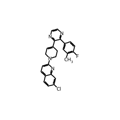 Cc1cc(-c2nccnc2C2=CCN(c3ccc4ccc(Cl)cc4n3)CC2)ccc1F